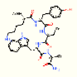 CC(=O)N[C@@H](CCCCN)C(=O)N[C@@H](Cc1ccc(O)cc1)C(=O)N[C@@H](CC(C)C)C(=O)N[C@@H](Cc1c[nH]c2ccccc12)C(=O)N[C@H](C(N)=O)C(C)C